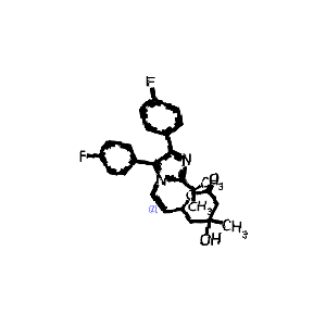 CC(C)c1nc(-c2ccc(F)cc2)c(-c2ccc(F)cc2)n1/C=C\C1CC(C)(O)CC(=O)O1